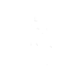 CCn1cc2c3cc(Cl)ccc3nc-2c2cc(F)c(N3CCNC(C)C3)c(F)c21